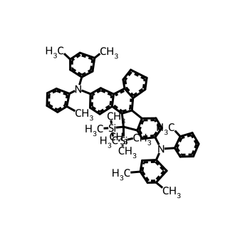 Cc1cc(C)cc(N(c2ccc3c(c2)C([Si](C)(C)C)([Si](C)(C)C)c2c-3c3ccccc3c3cc(N(c4cc(C)cc(C)c4)c4ccccc4C)ccc23)c2ccccc2C)c1